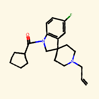 C=CCN1CCC2(CC1)CN(C(=O)C1CCCC1)c1ccc(F)cc12